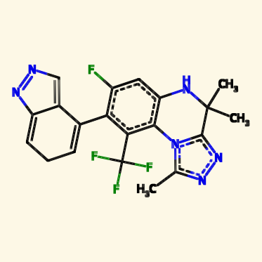 Cc1nnc2n1-c1c(cc(F)c(C3=CCC=C4N=NC=C43)c1C(F)(F)F)NC2(C)C